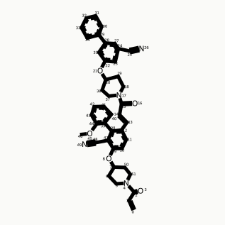 C=CC(=O)N1CCC(Oc2ccc(/C=C/C(=O)N3CCC(Oc4cc(C#N)cc(-c5ccccc5)c4)CC3)c(-c3ccccc3OC)c2C#N)CC1